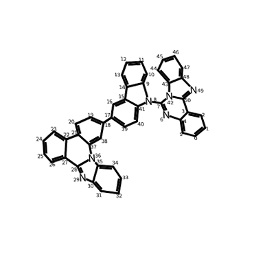 c1ccc2c(c1)nc(-n1c3ccccc3c3cc(-c4ccc5c6ccccc6c6nc7ccccc7n6c5c4)ccc31)n1c3ccccc3nc21